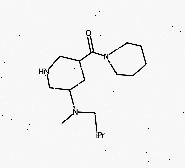 CC(C)CN(C)C1CNCC(C(=O)N2CCCCC2)C1